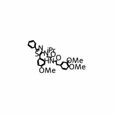 COc1ccc(-c2sc(-c3ccccc3)nc2N(CC(=O)NC(=O)Cc2ccc(OC)c(OC)c2)C(C)C)cc1